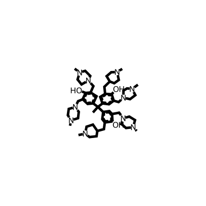 CN1CCC(Cc2cc(C(C)(c3cc(CC4CCN(C)CC4)c(O)c(CN4CCN(C)CC4)c3)c3cc(CN4CCN(C)CC4)c(O)c(CN4CCN(C)CC4)c3)cc(CN3CCN(C)CC3)c2O)CC1